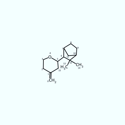 C=C1CCOC(C2C3CCC(C3)C2(C)C)C1